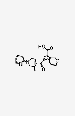 CC1CN(c2ccccn2)CCN1C(=O)c1cc(C(=O)O)c2n1CCOC2